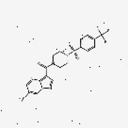 Cc1cnc2c(C(=O)N3CCN(S(=O)(=O)c4ccc(C(F)(F)F)cc4)CC3)cnn2c1